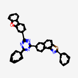 c1ccc(-c2nc(-c3ccc4c(ccc5sc(-c6ccccc6)nc54)c3)nc(-c3ccc4c(c3)oc3ccccc34)n2)cc1